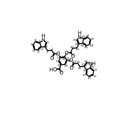 O=C(CCc1c[nH]c2ccccc12)Oc1cc(C(=O)O)cc(OC(=O)CCc2c[nH]c3ccccc23)c1OC(=O)CCc1c[nH]c2ccccc12